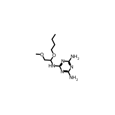 CCCCOC(COC)Nc1nc(N)nc(N)n1